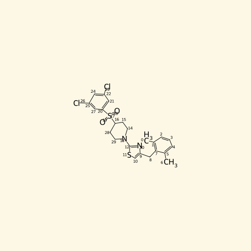 Cc1cccc(C)c1Cc1csc(N2CCC(S(=O)(=O)c3cc(Cl)cc(Cl)c3)CC2)n1